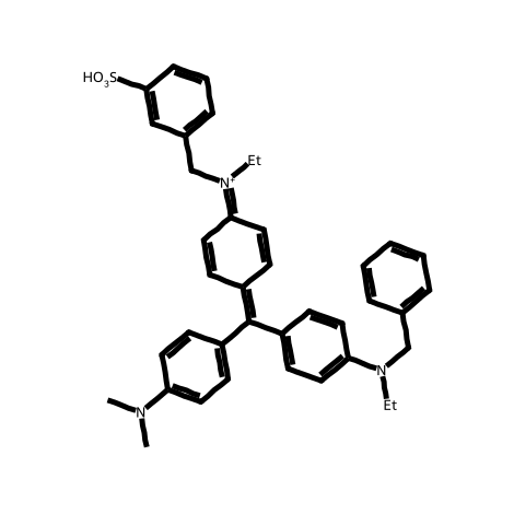 CCN(Cc1ccccc1)c1ccc(C(=C2C=CC(=[N+](CC)Cc3cccc(S(=O)(=O)O)c3)C=C2)c2ccc(N(C)C)cc2)cc1